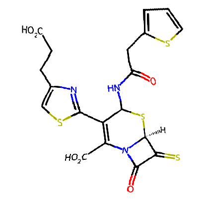 O=C(O)CCc1csc(C2=C(C(=O)O)N3C(=O)C(=S)[C@@H]3SC2NC(=O)Cc2cccs2)n1